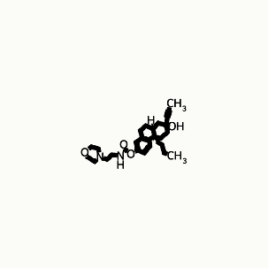 CC#C[C@@]1(O)CC[C@]2(CCCC)c3ccc(OC(=O)NCCN4CCOCC4)cc3CC[C@H]2C1